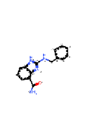 NC(=O)c1cccc2[nH]c(NCc3ccccc3)nc12